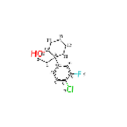 CCC1(c2ccc(Cl)c(F)c2)CCCCC1O